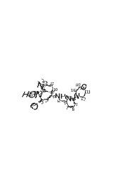 O=c1cc(NCc2cccc(N3CCOCC3)n2)c2cccnc2n1O